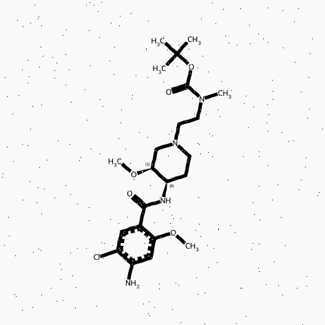 COc1cc(N)c(Cl)cc1C(=O)N[C@@H]1CCN(CCN(C)C(=O)OC(C)(C)C)C[C@@H]1OC